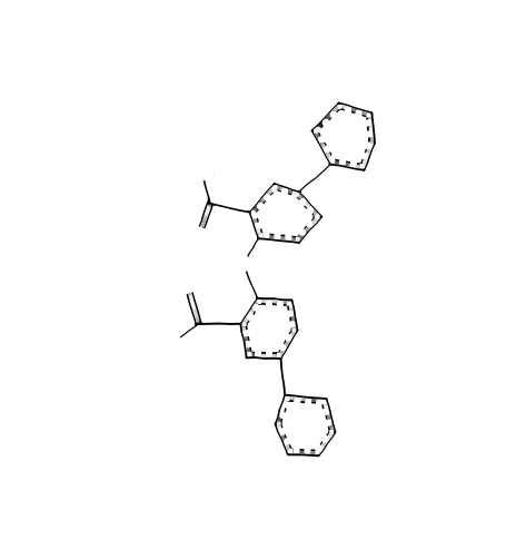 O=CC(=O)c1cc(-c2ccccc2)ccc1Oc1ccc(-c2ccccc2)cc1C(=O)C=O